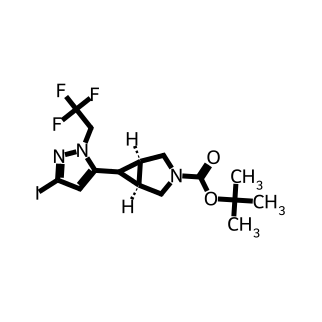 CC(C)(C)OC(=O)N1C[C@@H]2C(c3cc(I)nn3CC(F)(F)F)[C@@H]2C1